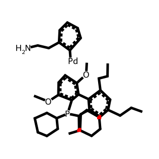 CCCc1cc(CCC)c(-c2c(OC)ccc(OC)c2P(C2CCCCC2)C2CCCCC2)c(CCC)c1.NCCc1cccc[c]1[Pd]